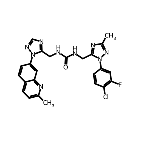 Cc1ccc2ccc(-n3ncnc3CNC(=O)NCc3nc(C)nn3-c3ccc(Cl)c(F)c3)cc2n1